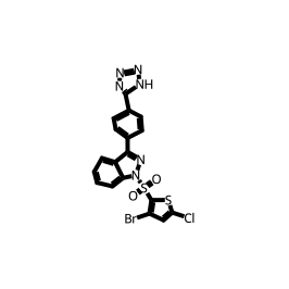 O=S(=O)(c1sc(Cl)cc1Br)n1nc(-c2ccc(-c3nnn[nH]3)cc2)c2ccccc21